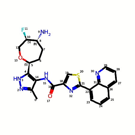 Cc1n[nH]c([C@@H]2CC[C@@H](N)[C@H](F)CO2)c1NC(=O)c1csc(-c2cccc3cccnc23)n1